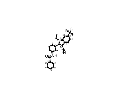 CCn1c(-c2cccc(NC(=O)c3ccccc3)c2)c(C#N)c2ccc(C(F)(F)F)cc21